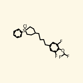 Fc1cc(CCCCC2CC[Si](Cl)(c3ccccc3)CC2)cc(F)c1OC(F)F